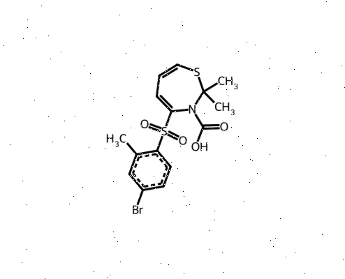 Cc1cc(Br)ccc1S(=O)(=O)C1=CC=CSC(C)(C)N1C(=O)O